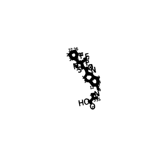 O=C(O)C1CN(Cc2ccc3c(c2)CCc2c-3noc2-c2snc(-c3ccccc3)c2C(F)(F)F)C1